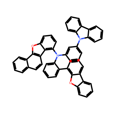 c1cc(N(c2ccccc2-c2cccc3c2oc2ccccc23)c2cccc3oc4c5ccccc5ccc4c23)cc(-n2c3ccccc3c3ccccc32)c1